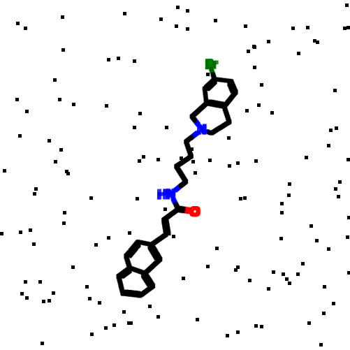 O=C(/C=C/c1ccc2ccccc2c1)NCCCCN1CCc2ccc(Br)cc2C1